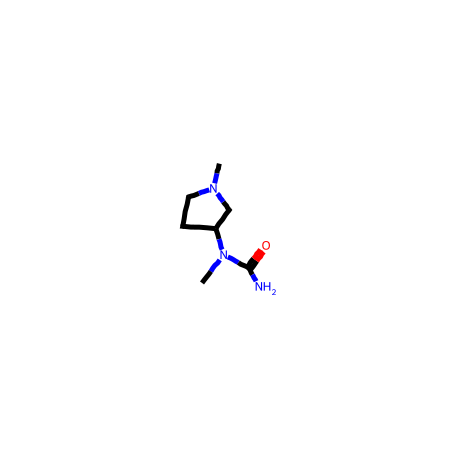 CN1CCC(N(C)C(N)=O)C1